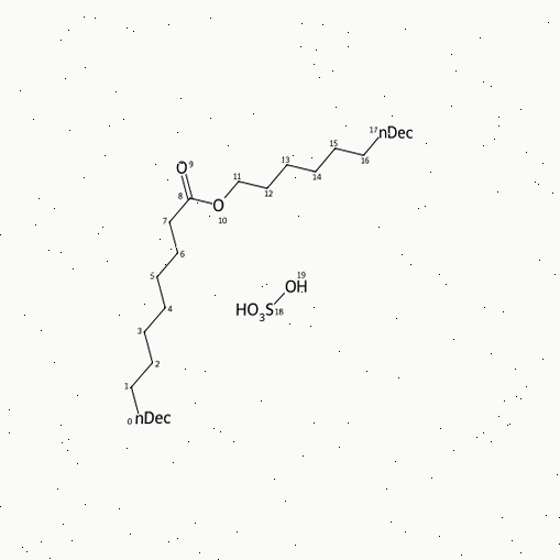 CCCCCCCCCCCCCCCCCC(=O)OCCCCCCCCCCCCCCCC.O=S(=O)(O)O